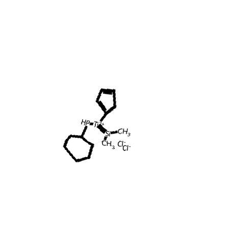 C[Si](C)=[Ti+2]([PH]C1CCCCC1)[C]1=CC=CC1.[Cl-].[Cl-]